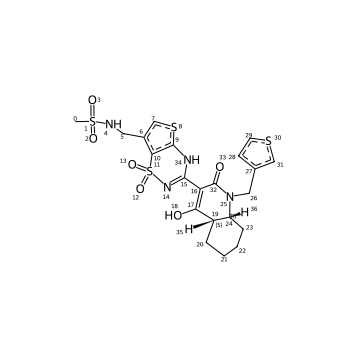 CS(=O)(=O)NCc1csc2c1S(=O)(=O)N=C(C1=C(O)[C@H]3CCCC[C@H]3N(Cc3ccsc3)C1=O)N2